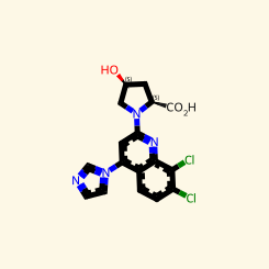 O=C(O)[C@@H]1C[C@H](O)CN1c1cc(-n2ccnc2)c2ccc(Cl)c(Cl)c2n1